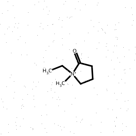 CC[N+]1(C)CCCC1=O